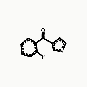 O=C(c1ccsc1)c1ccccc1F